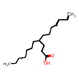 CCCCCCCC(CCCCCCC)CCC(=O)O